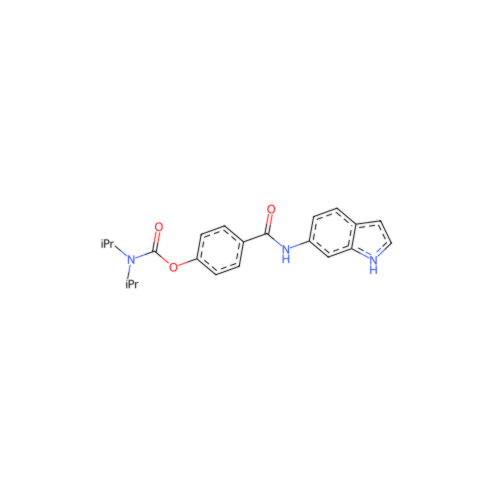 CC(C)N(C(=O)Oc1ccc(C(=O)Nc2ccc3cc[nH]c3c2)cc1)C(C)C